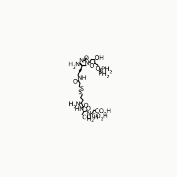 Nc1nc(=O)n(C2CC(O)C(COP(P)P)O2)cc1C#CCNC(=O)CCSSCCCC(N)C(=O)NC(CC(=O)O)C(=O)NC(CC(=O)O)C(=O)O